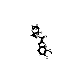 COc1c(Cl)ccc2cc(C(=O)N[C@@H]3C4CCN(CC4)C34CC4)sc12